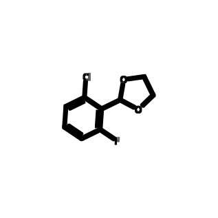 Fc1cccc(Cl)c1C1OCCO1